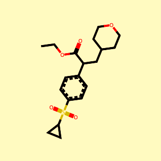 CCOC(=O)C(CC1CCOCC1)c1ccc(S(=O)(=O)C2CC2)cc1